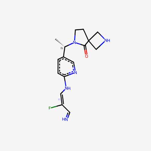 C[C@@H](c1ccc(N/C=C(/F)C=N)nc1)N1CCC2(CNC2)C1=O